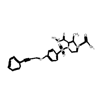 CC(=O)N1CCN(S(=O)(=O)c2ccc(OCC#Cc3ccccc3)cc2)C(C(=O)NO)C1C